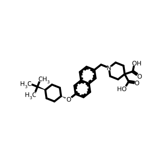 CC(C)(C)[C@H]1CC[C@H](Oc2ccc3cc(CN4CCC(C(=O)O)(C(=O)O)CC4)ccc3c2)CC1